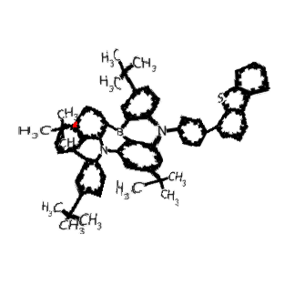 CC(C)(C)c1ccc2c(c1)B1c3ccc(C(C)(C)C)cc3N(c3ccc(C(C)(C)C)cc3-c3ccccc3)c3cc(C(C)(C)C)cc(c31)N2c1ccc(-c2cccc3c2sc2ccccc23)cc1